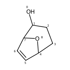 OC1CCC2C=CC1O2